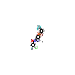 CC1(CNC(=O)c2ccc(F)c(Cl)c2)CCC(S(=O)(=O)c2cccc(C(F)(F)F)c2)CC1